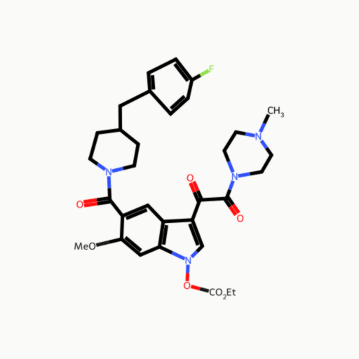 CCOC(=O)On1cc(C(=O)C(=O)N2CCN(C)CC2)c2cc(C(=O)N3CCC(Cc4ccc(F)cc4)CC3)c(OC)cc21